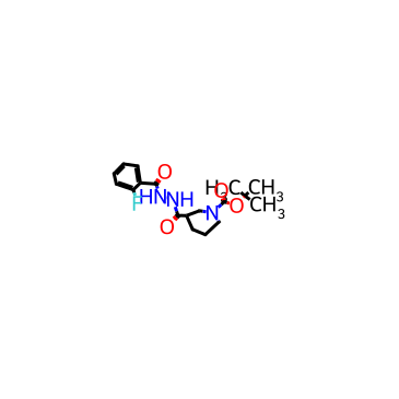 CC(C)(C)OC(=O)N1CCCC(C(=O)NNC(=O)c2ccccc2F)C1